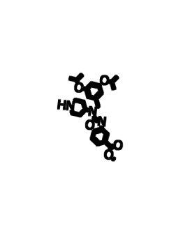 COC(=O)c1ccc2oc(N(Cc3cc(OC(C)C)cc(OC(C)C)c3)C3CCNCC3)nc2c1